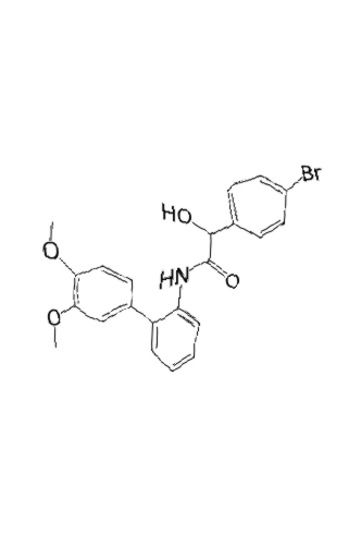 COc1ccc(-c2ccccc2NC(=O)C(O)c2ccc(Br)cc2)cc1OC